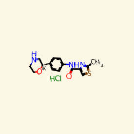 Cc1nc(C(=O)Nc2ccc([C@@H]3CNCCO3)cc2)cs1.Cl